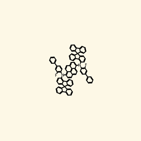 Fc1cc(-c2ccccc2)ccc1N(c1cccc2c1-c1ccccc1C21c2ccccc2-c2ccccc21)c1ccc2ccc3c(N(c4ccc(-c5ccccc5)cc4F)c4cccc5c4-c4ccccc4C54c5ccccc5-c5ccccc54)ccc4ccc1c2c43